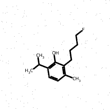 Cc1ccc(C(C)C)c(O)c1CCCCF